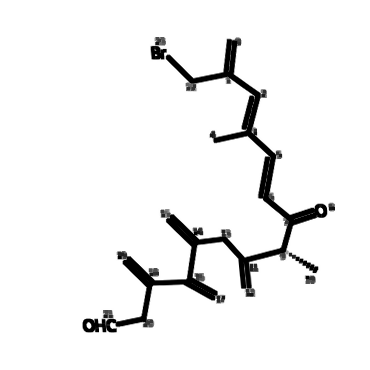 C=C(/C=C(C)/C=C/C(=O)[C@H](C)C(=C)CC(=C)C(=C)C(=C)CC=O)CBr